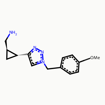 COc1ccc(Cn2cc([C@@H]3C[C@H]3CN)nn2)cc1